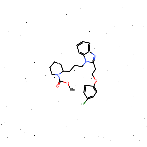 CC(C)(C)OC(=O)N1CCCCC1CCCn1c(CCOc2ccc(Cl)cc2)nc2ccccc21